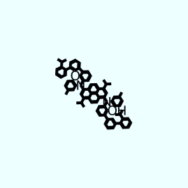 Cc1cccc(N(c2cccc(-c3cccc(-c4ccccc4C(C)C)c3)c2O)c2cc(C(C)C)c3ccc4c(N(c5cccc(C)c5)c5cccc6c5oc5c(-c7ccccc7C(C)C)cccc56)cc(C(C)C)c5ccc2c3c54)c1